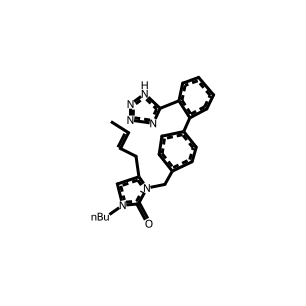 CC=CCc1cn(CCCC)c(=O)n1Cc1ccc(-c2ccccc2-c2nnn[nH]2)cc1